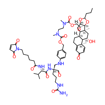 CCCC1O[C@@H]2CC3[C@@H]4CCC5=CC(=O)C=C[C@]5(C)C4[C@@H](O)C[C@]3(C)[C@]2(C(=O)COC(=O)N(C)CCN(C)C(=O)OCc2ccc(NC[C@@](C=O)(CCCNC(N)=O)NC(=O)[C@@H](NC(=O)CCCCCN3C(=O)C=CC3=O)C(C)C)cc2)O1